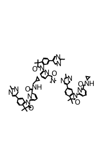 Cc1ncc(-c2ccc3c(c2)N(c2cccc(C(=O)N(C)C)n2)C(=O)C3(C)C)cn1.Cc1ncc(-c2ccc3c(c2)N(c2cccc(C(=O)NC4CC4)n2)C(=O)C3(C)C)cn1.Cc1ncc(-c2ccc3c(c2)N(c2cccc(C(=O)NCC4CC4)n2)C(=O)C3(C)C)cn1